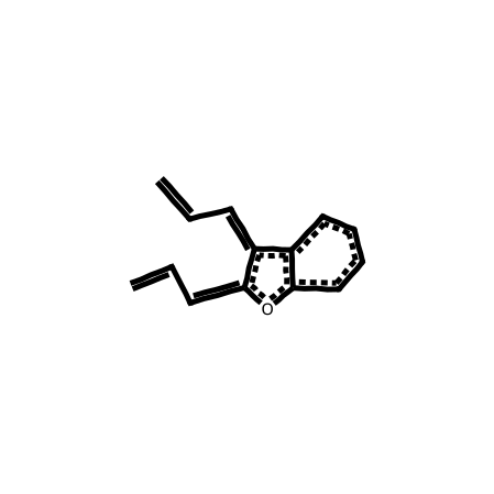 C=C/C=c1\c(=C/C=C)oc2ccccc12